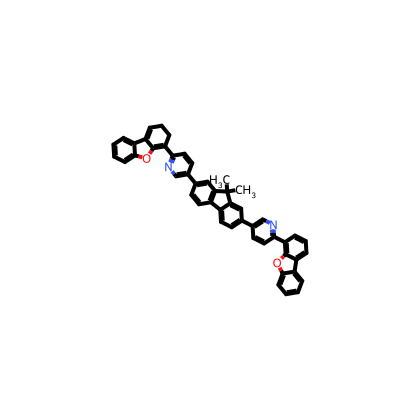 CC1(C)c2cc(-c3ccc(C4=c5oc6ccccc6c5=CCC4)nc3)ccc2-c2ccc(-c3ccc(-c4cccc5c4oc4ccccc45)nc3)cc21